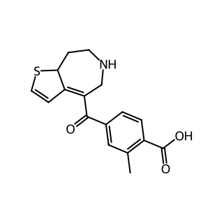 Cc1cc(C(=O)C2=C3C=CSC3CCNC2)ccc1C(=O)O